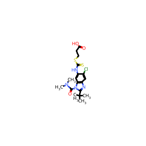 CN(C)C(=O)n1c(C(C)(C)C)nc2cc(Cl)c(NC(=S)SCCC(=O)O)cc21